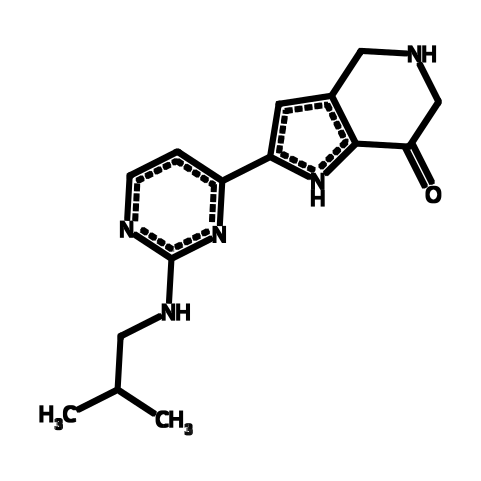 CC(C)CNc1nccc(-c2cc3c([nH]2)C(=O)CNC3)n1